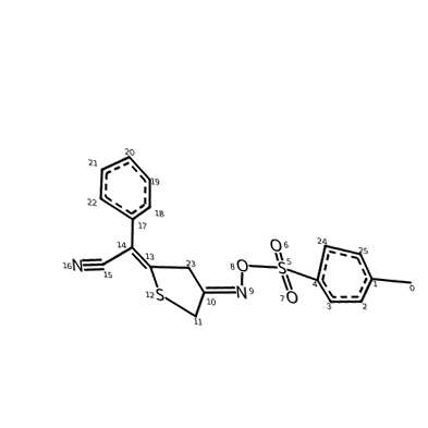 Cc1ccc(S(=O)(=O)ON=C2CSC(=C(C#N)c3ccccc3)C2)cc1